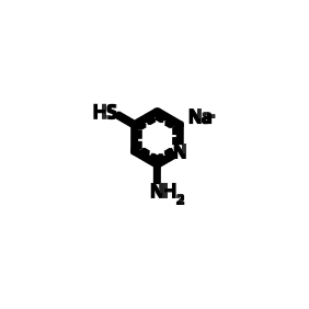 Nc1cc(S)ccn1.[Na]